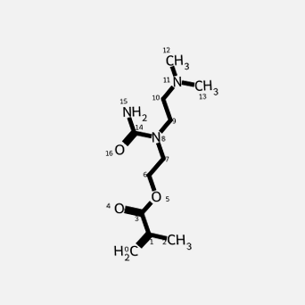 C=C(C)C(=O)OCCN(CCN(C)C)C(N)=O